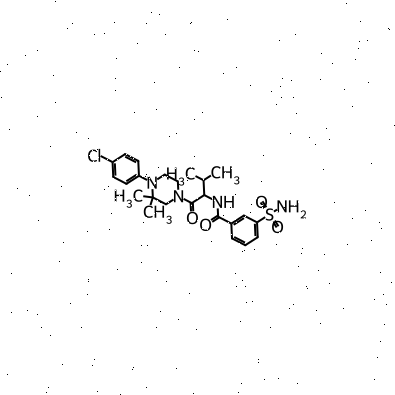 CC(C)C(NC(=O)c1cccc(S(N)(=O)=O)c1)C(=O)N1CCN(c2ccc(Cl)cc2)C(C)(C)C1